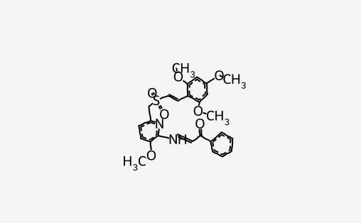 COc1cc(OC)c(/C=C/S(=O)(=O)Cc2ccc(OC)c(N/C=C/C(=O)c3ccccc3)n2)c(OC)c1